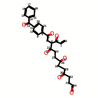 C=CC(=O)C(CC(=O)c1ccc(C(=O)c2ccccc2)cc1)C(=O)CCC(=O)CCC(=O)CCC=O